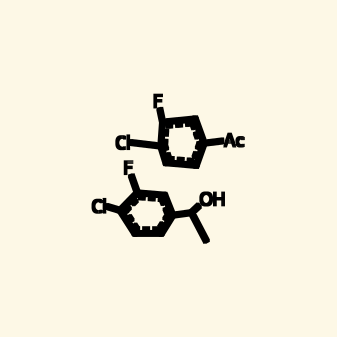 CC(=O)c1ccc(Cl)c(F)c1.CC(O)c1ccc(Cl)c(F)c1